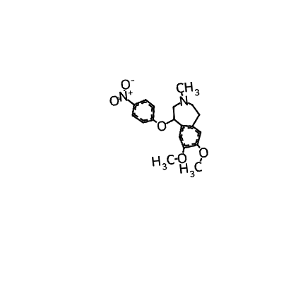 COc1cc2c(cc1OC)C(Oc1ccc([N+](=O)[O-])cc1)CN(C)CC2